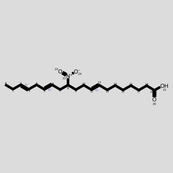 CC/C=C/C/C=C/CC(CC/C=C/CCCCCCC(=O)O)[N+](=O)[O-]